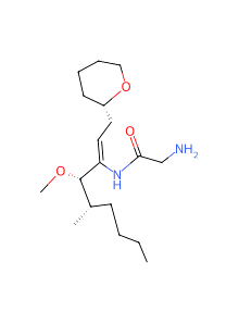 CCCC[C@H](C)[C@H](OC)C(=CC[C@@H]1CCCCO1)NC(=O)CN